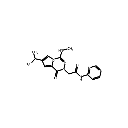 CNc1nn(CC(=O)Nc2ccncn2)c(=O)c2cc(C(C)C)cn12